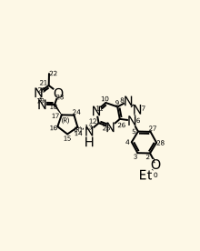 CCOc1ccc(-n2nnc3cnc(N[C@@H]4CC[C@@H](c5nnc(C)o5)C4)nc32)cc1